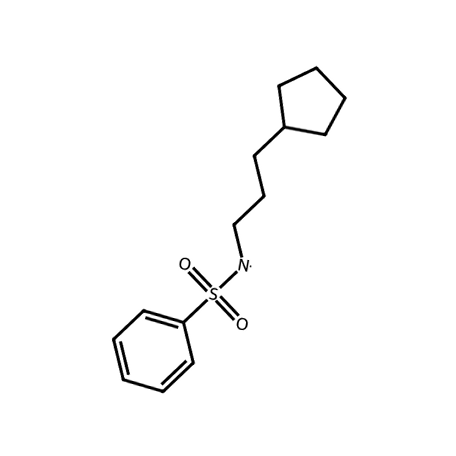 O=S(=O)([N]CCCC1CCCC1)c1ccccc1